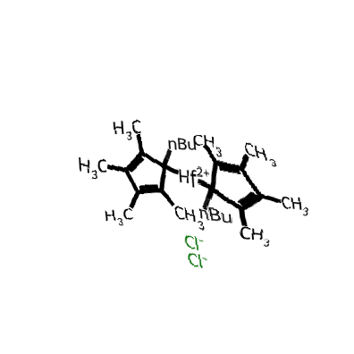 CCCC[C]1([Hf+2][C]2(CCCC)C(C)=C(C)C(C)=C2C)C(C)=C(C)C(C)=C1C.[Cl-].[Cl-]